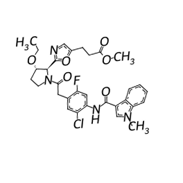 CCO[C@H]1CCN(C(=O)Cc2cc(Cl)c(NC(=O)c3cn(C)c4ccccc34)cc2F)[C@@H]1c1ncc(CCC(=O)OC)o1